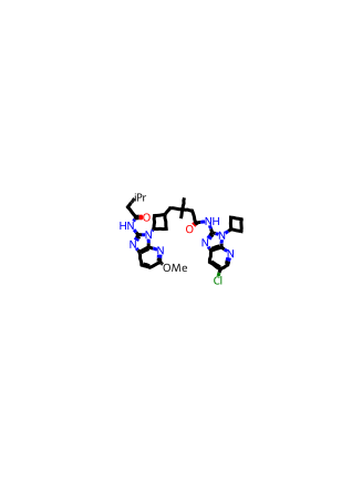 COc1ccc2nc(NC(=O)CC(C)C)n(C3CC(CC(C)(C)CC(=O)Nc4nc5cc(Cl)cnc5n4C4CCC4)C3)c2n1